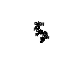 CCn1cc(Nc2ncnc(-c3ccc(O[C@H]4CCN(C(=O)[C@H](C)O)C[C@@H]4F)c(C#N)c3)n2)cn1